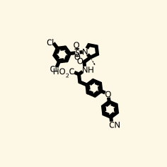 C[C@@]1(C(=O)NC(Cc2ccc(Oc3ccc(C#N)cc3)cc2)C(=O)O)CCCN1S(=O)(=O)c1cc(Cl)cc(Cl)c1